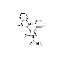 COc1ccccc1N/N=C1/C(=O)N(C(N)=S)N=C1c1ccccc1